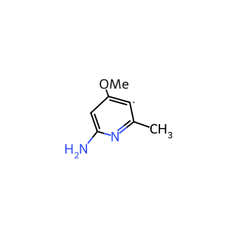 COc1[c]c(C)nc(N)c1